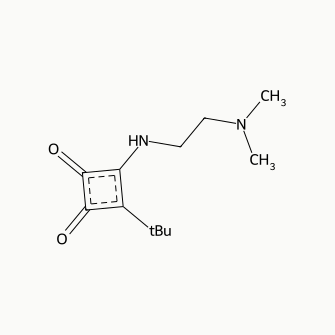 CN(C)CCNc1c(C(C)(C)C)c(=O)c1=O